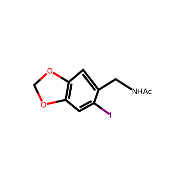 CC(=O)NCc1cc2c(cc1I)OCO2